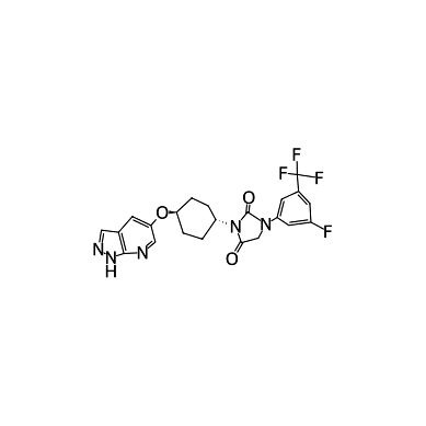 O=C1CN(c2cc(F)cc(C(F)(F)F)c2)C(=O)N1[C@H]1CC[C@H](Oc2cnc3[nH]ncc3c2)CC1